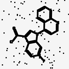 O=C(Cl)c1cn(-c2ccnc3ccccc23)c2cc(F)ccc12